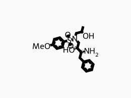 COc1ccc(S(=O)(=O)N(CC(C)O)C[C@@H](O)[C@@H](N)Cc2ccccc2)cc1